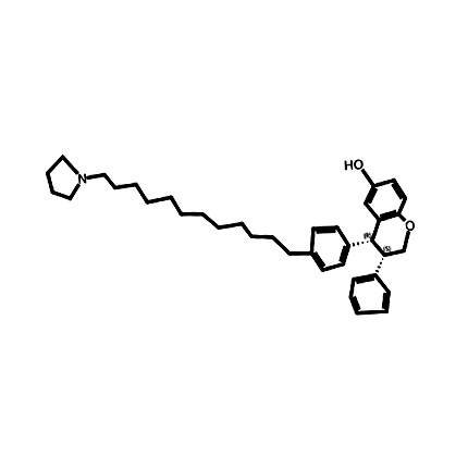 Oc1ccc2c(c1)[C@@H](c1ccc(CCCCCCCCCCCCN3CCCC3)cc1)[C@@H](c1ccccc1)CO2